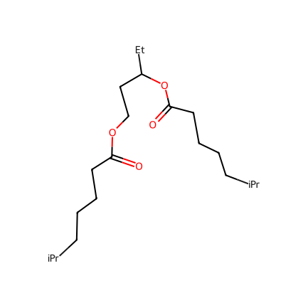 CCC(CCOC(=O)CCCCC(C)C)OC(=O)CCCCC(C)C